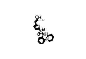 CCCc1ccc(S(=O)(=O)Nc2ccccc2N2CCCCC2)s1